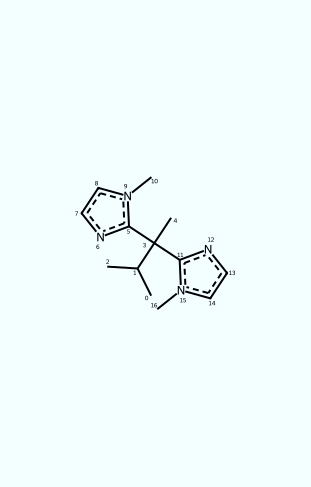 CC(C)C(C)(c1nccn1C)c1nccn1C